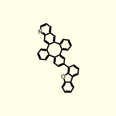 c1ccc2c(c1)-c1ccc(-c3cccc4c3oc3ccccc34)cc1-c1ccccc1-c1cc3cccnc3cc1-2